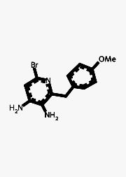 COc1ccc(Cc2nc(Br)cc(N)c2N)cc1